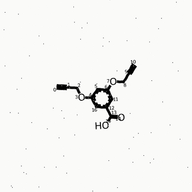 C#CCOc1cc(OCC#C)cc(C(=O)O)c1